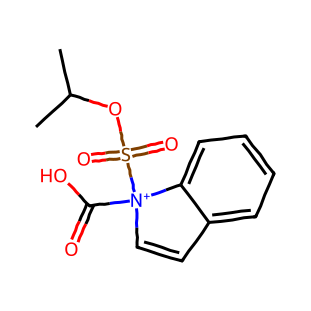 CC(C)OS(=O)(=O)[N+]1(C(=O)O)C=Cc2ccccc21